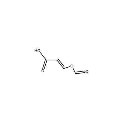 O=CO/C=C/C(=O)O